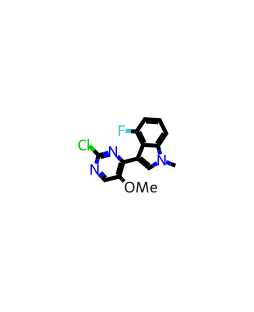 COc1cnc(Cl)nc1-c1cn(C)c2cccc(F)c12